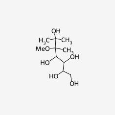 COC(C)(C(O)C(O)C(O)CO)C(C)(C)O